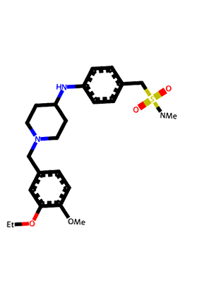 CCOc1cc(CN2CCC(Nc3ccc(CS(=O)(=O)NC)cc3)CC2)ccc1OC